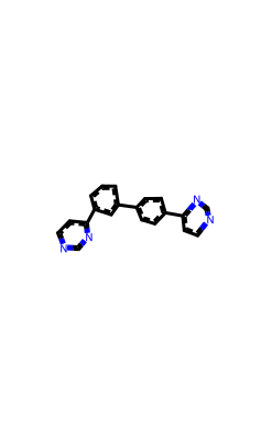 c1cc(-c2ccc(-c3ccncn3)cc2)cc(-c2ccncn2)c1